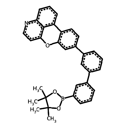 CC1(C)OB(c2cccc(-c3cccc(-c4ccc5c(c4)Oc4ccnc6cccc-5c46)c3)c2)OC1(C)C